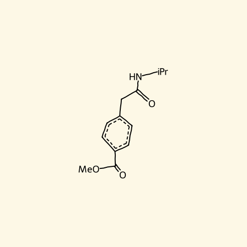 COC(=O)c1ccc(CC(=O)NC(C)C)cc1